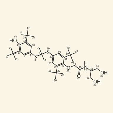 CC(C)(Sc1cc(C(C)(C)C)c(O)c(C(C)(C)C)c1)Sc1cc(C(C)(C)C)c(OCC(=O)NC(CO)CO)c(C(C)(C)C)c1